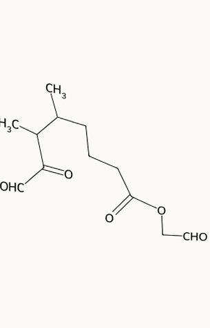 CC(CCCC(=O)OCC=O)C(C)C(=O)C=O